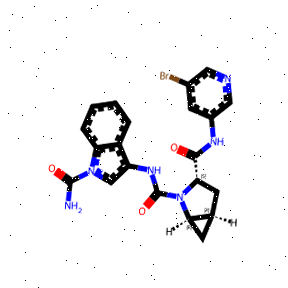 NC(=O)n1cc(NC(=O)N2[C@@H]3C[C@@H]3C[C@H]2C(=O)Nc2cncc(Br)c2)c2ccccc21